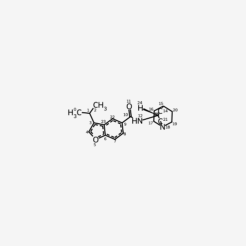 CC(C)c1coc2ccc(C(=O)N[C@@H]3CC4CCN(CC4)C3)cc12